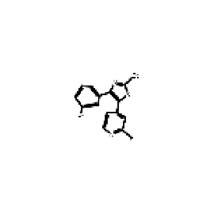 CCc1cccc(-c2nc(CC)sc2-c2ccnc(F)c2)c1